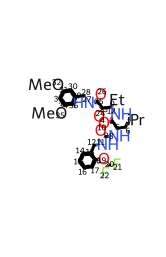 CCC(NC(=O)C(CC(C)C)NC(=O)NCc1ccccc1OC(F)F)C(=O)C(=O)NCc1cc(OC)cc(OC)c1